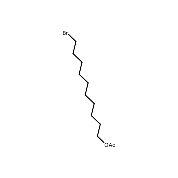 CC(=O)OCCCCCCCCCCBr